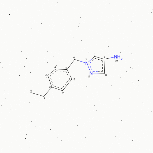 CCc1ccc(Cn2cc(N)cn2)cc1